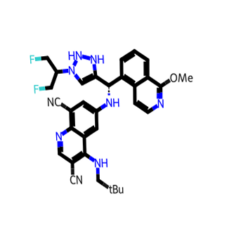 COc1nccc2c([C@H](Nc3cc(C#N)c4ncc(C#N)c(NCC(C)(C)C)c4c3)C3=CN(C(CF)CF)NN3)cccc12